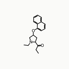 CCC(=O)C1CC(Oc2cccc3ccccc23)CN1CC